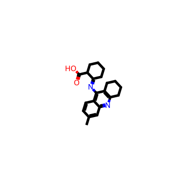 Cc1ccc2c(N=C3CCCCC3C(=O)O)c3c(nc2c1)CCCC3